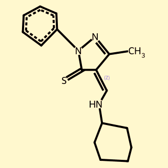 CC1=NN(c2ccccc2)C(=S)/C1=C\NC1CCCCC1